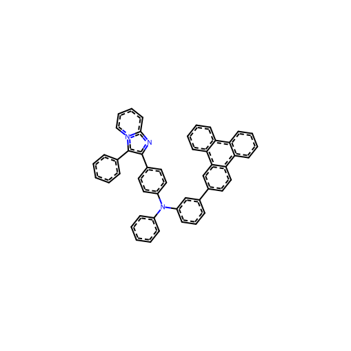 c1ccc(-c2c(-c3ccc(N(c4ccccc4)c4cccc(-c5ccc6c7ccccc7c7ccccc7c6c5)c4)cc3)nc3ccccn23)cc1